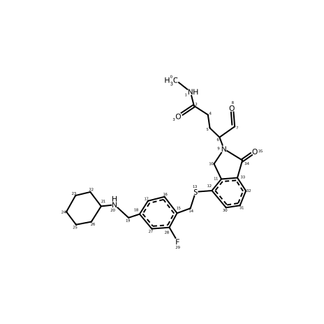 CNC(=O)CCC(C=O)N1Cc2c(SCc3ccc(CNC4CCCCC4)cc3F)cccc2C1=O